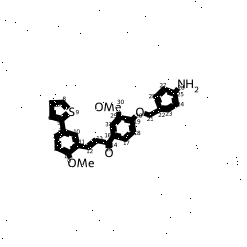 COc1ccc(-c2cccs2)cc1C=CC(=O)c1ccc(OCc2ccc(N)cc2)c(OC)c1